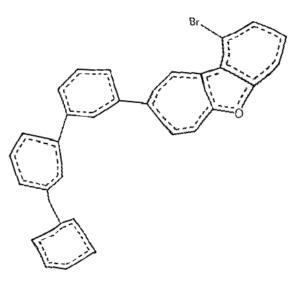 Brc1cccc2oc3ccc(-c4cccc(-c5cccc(-c6ccccc6)c5)c4)cc3c12